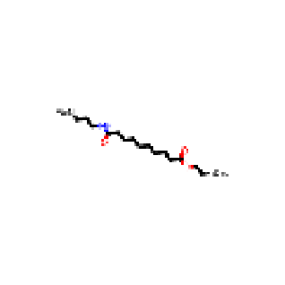 CCCCCCCCCCCCOC(=O)CCCCCCCCC(=O)NCCCNC